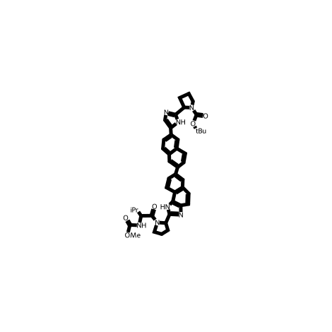 COC(=O)NC(C(=O)N1CCCC1c1nc2ccc3cc(-c4ccc5cc(-c6cnc(C7CCCN7C(=O)OC(C)(C)C)[nH]6)ccc5c4)ccc3c2[nH]1)C(C)C